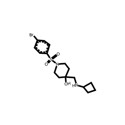 O=S(=O)(c1ccc(Br)cc1)N1CCC(O)(CNC2CCC2)CC1